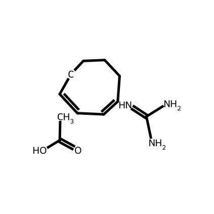 C1=CCCCCC=C1.CC(=O)O.N=C(N)N